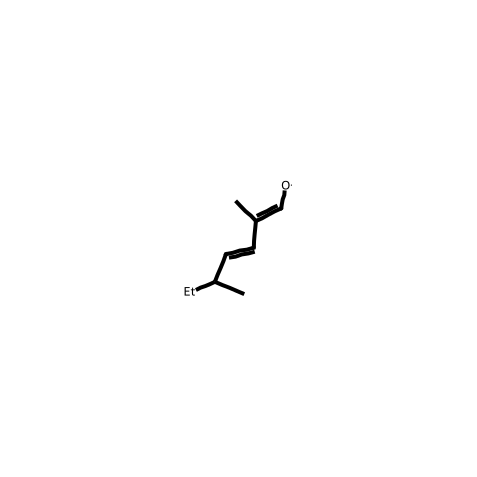 CCC(C)/C=C/C(C)=C/[O]